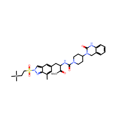 COC(=O)C(Cc1cc(C)c2nn(S(=O)(=O)CC[Si](C)(C)C)cc2c1)NC(=O)N1CCC(N2Cc3ccccc3NC2=O)CC1